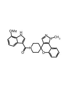 COc1cccc2c(C(=O)N3CCC4(CC3)Oc3ccccc3-c3c4cnn3C)c[nH]c12